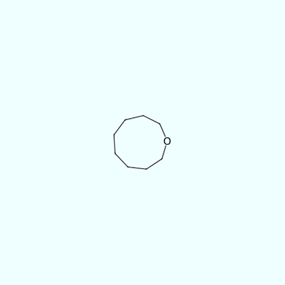 C1CCCCOCCC1